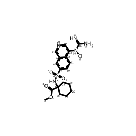 COC(=O)C1(NS(=O)(=O)c2ccc3c(N(Cl)C(=N)N)cncc3c2)CCCCC1